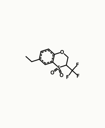 CCc1ccc2c(c1)S(=O)(=O)C(C(F)(F)F)CO2